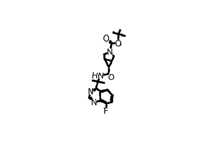 CC(C)(C)OC(=O)N1CC2C(C1)C2C(=O)NC(C)(C)c1ncnc2c(F)cccc12